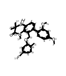 COc1ccc(-c2ccc3c(c2COc2cc(F)ccc2C)N(C)C(=O)C(C)(C)N3)c(OC)c1